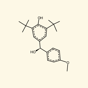 COc1ccc([C@@H](O)c2cc(C(C)(C)C)c(O)c(C(C)(C)C)c2)cc1